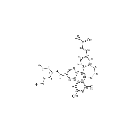 CCCN(CCCF)COc1ccc(C2=C(c3ccc(Cl)cc3Cl)CCCc3cc(/C=C/C(=O)O)ccc32)cc1